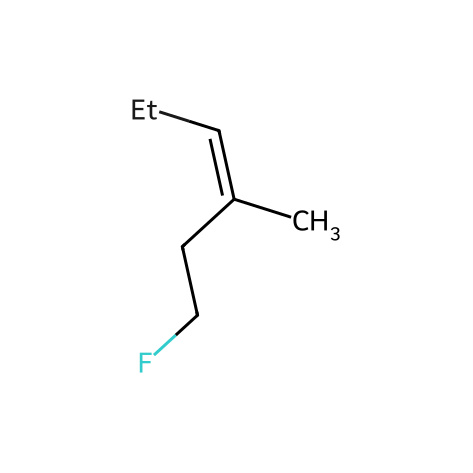 [CH2]CC=C(C)CCF